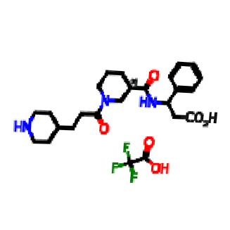 O=C(O)C(F)(F)F.O=C(O)CC(NC(=O)[C@@H]1CCCN(C(=O)CCC2CCNCC2)C1)c1ccccc1